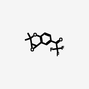 CC1(C)Oc2ccc(C(=O)C(F)(F)F)cc2C2OC21